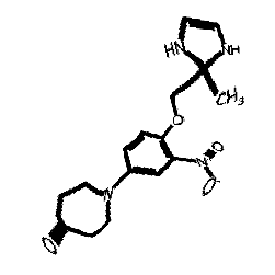 CC1(COc2ccc(N3CCC(=O)CC3)cc2[N+](=O)[O-])NC=CN1